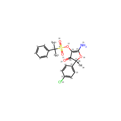 [2H]C([2H])(c1ccccc1)S(=O)(=O)OC1=C(N)O[C@]([2H])(c2ccc(Cl)cc2)C1=O